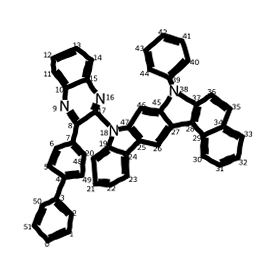 c1ccc(-c2ccc(-c3nc4ccccc4nc3-n3c4ccccc4c4cc5c6c7ccccc7ccc6n(-c6ccccc6)c5cc43)cc2)cc1